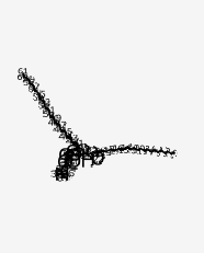 CCCCCCCCCC=CC=CC=CC=CC=CC=CC(=O)OCC(COP(=O)(O)OCC[N+](C)(C)C)OC(=O)C=CC=CC=CC=CC=CC=CCCCCCCCCC